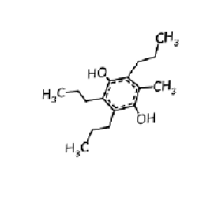 CCCc1c(C)c(O)c(CCC)c(CCC)c1O